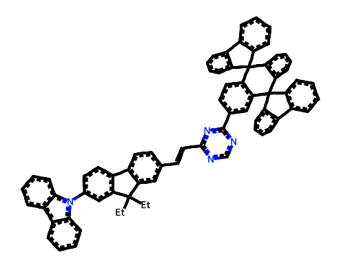 CCC1(CC)c2cc(/C=C/c3ncnc(-c4ccc5c(c4)C4(c6ccccc6-c6ccccc64)c4ccccc4C54c5ccccc5-c5ccccc54)n3)ccc2-c2ccc(-n3c4ccccc4c4ccccc43)cc21